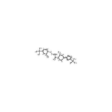 O=C(NCCc1ncc(C(F)(F)F)cc1Cl)c1ccc(-c2noc(C(F)(F)F)n2)cc1F